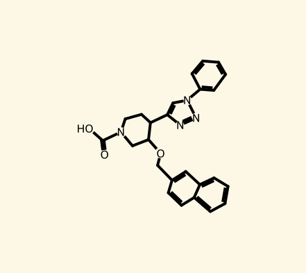 O=C(O)N1CCC(c2cn(-c3ccccc3)nn2)C(OCc2ccc3ccccc3c2)C1